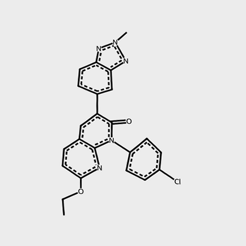 CCOc1ccc2cc(-c3ccc4nn(C)nc4c3)c(=O)n(-c3ccc(Cl)cc3)c2n1